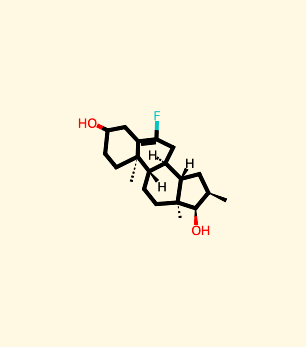 C[C@@H]1C[C@H]2[C@@H]3CC(F)=C4CC(O)CC[C@]4(C)[C@H]3CC[C@]2(C)[C@@H]1O